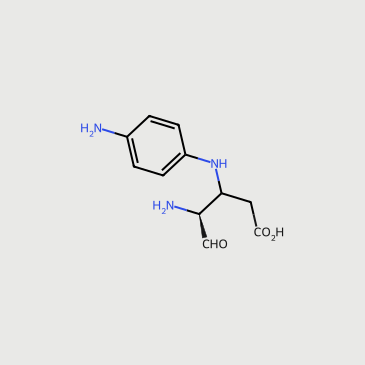 Nc1ccc(NC(CC(=O)O)[C@H](N)C=O)cc1